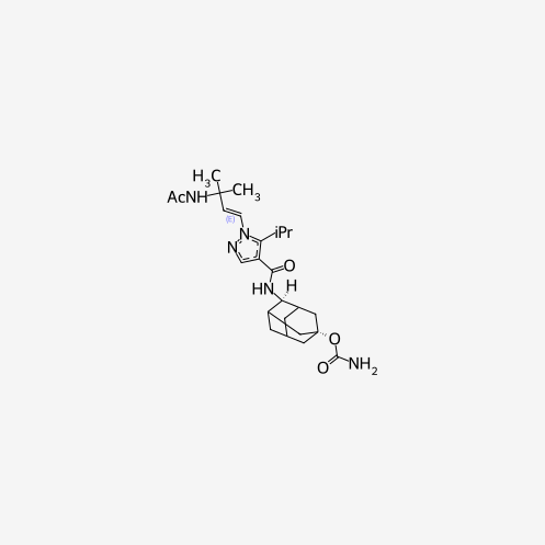 CC(=O)NC(C)(C)/C=C/n1ncc(C(=O)N[C@H]2C3CC4CC2C[C@](OC(N)=O)(C4)C3)c1C(C)C